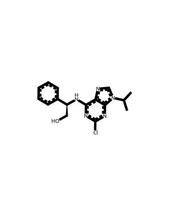 CC(C)n1cnc2c(N[C@@H](CO)c3ccccc3)nc(Cl)nc21